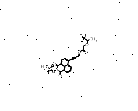 CC(OCC(=O)OCC#Cc1ccc2c3c(cccc13)C(=O)N(OS(C)(=O)=O)C2=O)C(F)(F)F